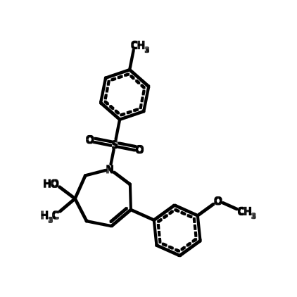 COc1cccc(C2=CCC(C)(O)CN(S(=O)(=O)c3ccc(C)cc3)C2)c1